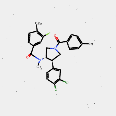 COc1ccc(C(=O)N(C)[C@@H]2CN(C(=O)c3ccc(C#N)cc3)C[C@H]2c2ccc(Cl)c(Cl)c2)cc1F